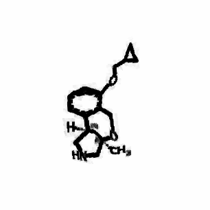 C[C@]12CNC[C@H]1c1cccc(OCC3CC3)c1CO2